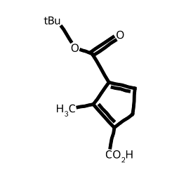 CC1=C(C(=O)O)CC=C1C(=O)OC(C)(C)C